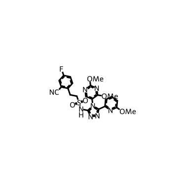 COc1cccc(-c2nnc(NS(=O)(=O)CCc3ccc(F)cc3C#N)n2-c2cnc(OC)nc2OC)n1